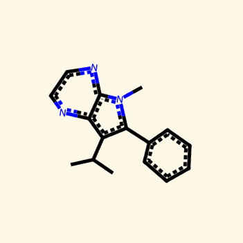 CC(C)c1c(-c2ccccc2)n(C)c2nccnc12